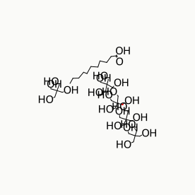 CCCCCCCCCCC(=O)O.OCC(CO)(CO)CO.OCC(CO)(CO)CO.OCC(CO)(CO)CO.OCC(CO)(CO)CO.OCC(CO)(CO)CO